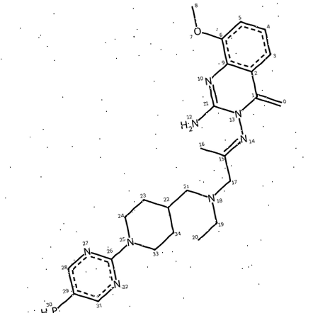 C=C1c2cccc(OC)c2N=C(N)N1/N=C(\C)CN(CC)CC1CCN(c2ncc(P)cn2)CC1